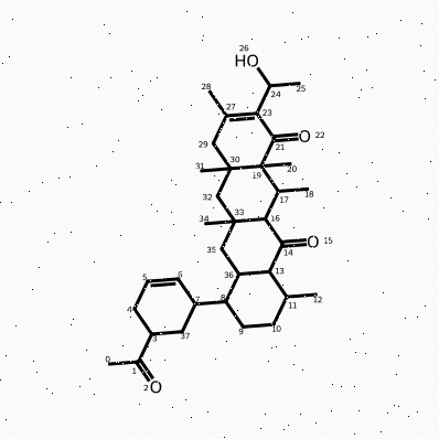 CC(=O)C1CC=CC(C2CCC(C)C3C(=O)C4C(C)C5(C)C(=O)C(C(C)O)=C(C)CC5(C)CC4(C)CC23)C1